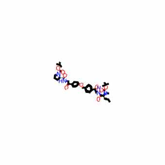 CCC[C@@H](C(=O)NCC(=O)c1ccc(COc2ccc(C(=O)CNC(=O)[C@@H]3CCCN3C(=O)OC(C)(C)C)cc2)cc1)N(C)C(=O)OC(C)(C)C